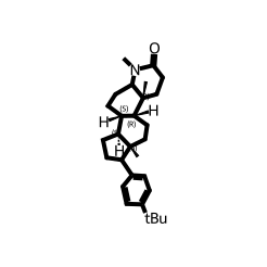 CN1C(=O)CC[C@@]2(C)C1CC[C@@H]1[C@H]2CC[C@]2(C)C(c3ccc(C(C)(C)C)cc3)CC[C@@H]12